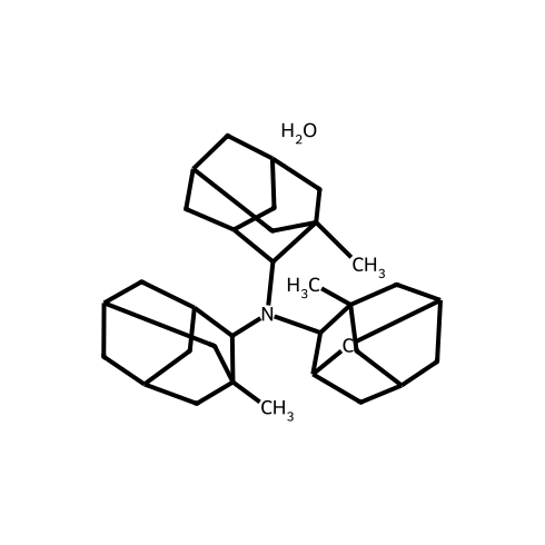 CC12CC3CC(CC(C3)C1N(C1C3CC4CC(C3)CC1(C)C4)C1C3CC4CC(C3)CC1(C)C4)C2.O